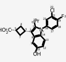 CC(C)c1c([C@H]2C[C@@H](C(=O)O)C2)c2cc(O)ccc2n1-c1ccc(F)c(Cl)c1